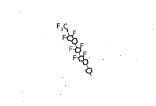 Cc1ccc(-c2ccc3c(F)c(-c4cc(F)c(-c5ccc6c(F)c(C#CC(F)(F)F)c(F)cc6c5)c(F)c4)c(F)cc3c2)cc1